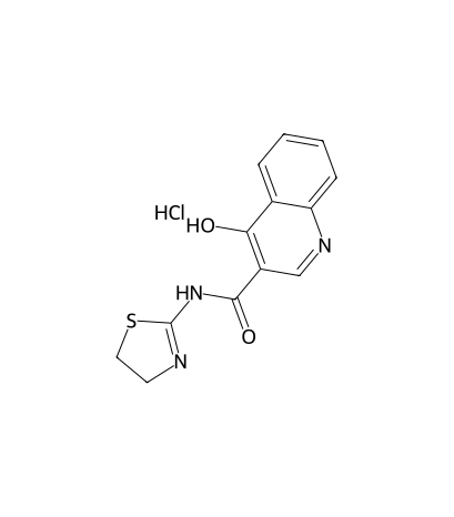 Cl.O=C(NC1=NCCS1)c1cnc2ccccc2c1O